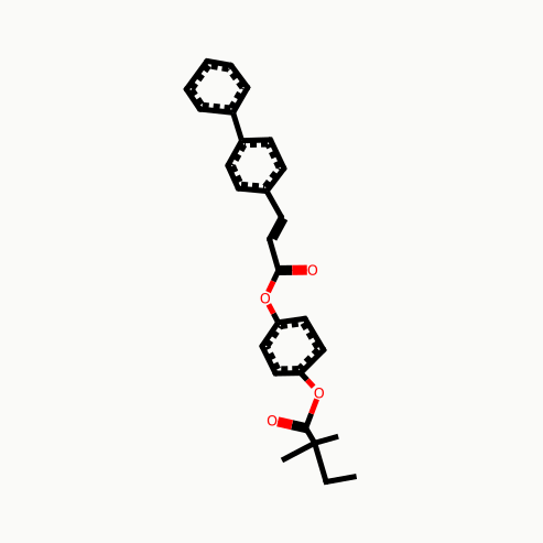 CCC(C)(C)C(=O)Oc1ccc(OC(=O)/C=C/c2ccc(-c3ccccc3)cc2)cc1